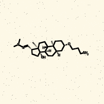 CN(C)/N=C/[C@H]1CC[C@]2(O)[C@@H]3CC[C@@H]4C[C@@H](OCCCN)CC[C@]4(C)[C@H]3CC[C@]12C